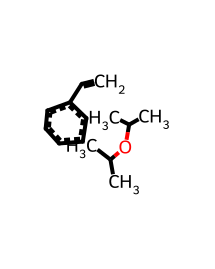 C=Cc1ccccc1.CC(C)OC(C)C